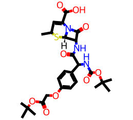 CC1C=C(C(=O)O)N2C(=O)C(NC(=O)C(NC(=O)OC(C)(C)C)c3ccc(OCC(=O)OC(C)(C)C)cc3)[C@H]2S1